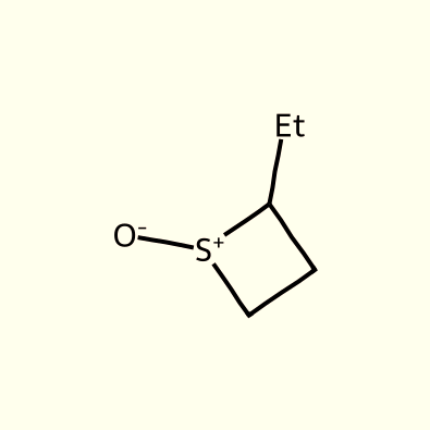 [CH2]CC1CC[S+]1[O-]